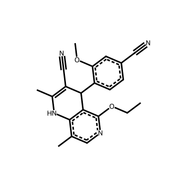 CCOc1ncc(C)c2c1C(c1ccc(C#N)cc1OC)C(C#N)=C(C)N2